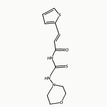 O=C(/C=C/c1cccs1)NC(=S)NN1CCOCC1